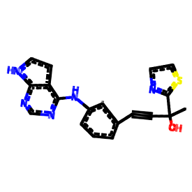 CC(O)(C#Cc1[c]c(Nc2ncnc3[nH]ccc23)ccc1)c1nccs1